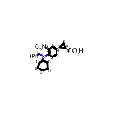 CC(C)CN(c1ccc([C@@H]2C[C@@H]2C(=O)O)cc1[N+](=O)[O-])C1CCCCC1